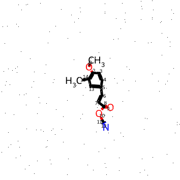 COc1ccc(C=CC(=O)OC#N)cc1C